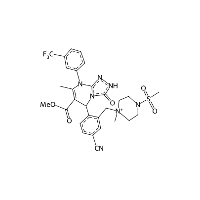 COC(=O)C1=C(C)N(c2cccc(C(F)(F)F)c2)c2n[nH]c(=O)n2C1c1ccc(C#N)cc1C[N+]1(C)CCN(S(C)(=O)=O)CC1